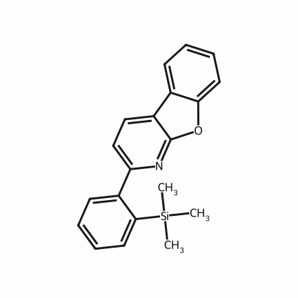 C[Si](C)(C)c1ccccc1-c1ccc2c(n1)oc1ccccc12